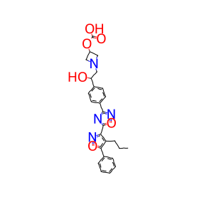 CCCc1c(-c2nc(-c3ccc(C(O)CN4CC(OC(=O)O)C4)cc3)no2)noc1-c1ccccc1